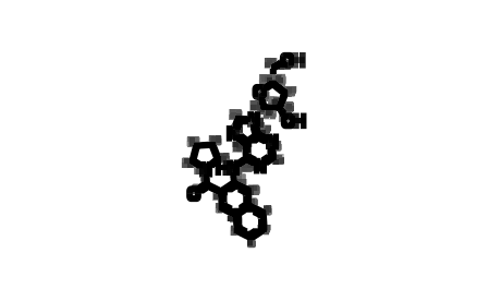 O=C(c1cc2ccccc2cc1Nc1ncnc2c1ncn2[C@@H]1O[C@H](CO)C[C@H]1O)N1CCCC1